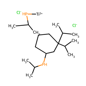 CC(C)PC1CCCC(C(C)C)(C(C)C)C1.CC(C)[PH][Ti+2].[Cl-].[Cl-]